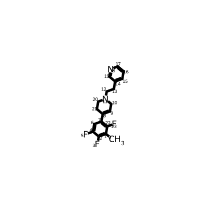 Cc1c(F)c(F)cc(C2=CCN(CCc3cccnc3)CC2)c1F